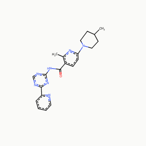 Cc1nc(N2CCC(C)CC2)ccc1C(=O)Nc1ncnc(-c2ccccn2)n1